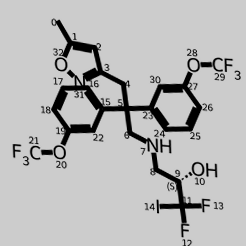 Cc1cc(CC(CNC[C@H](O)C(F)(F)I)(c2cccc(OC(F)(F)F)c2)c2cccc(OC(F)(F)F)c2)no1